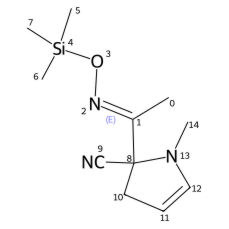 C/C(=N\O[Si](C)(C)C)C1(C#N)CC=CN1C